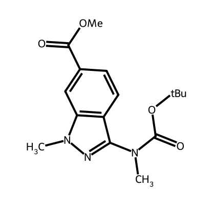 COC(=O)c1ccc2c(N(C)C(=O)OC(C)(C)C)nn(C)c2c1